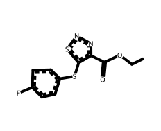 CCOC(=O)c1nnsc1Sc1ccc(F)cc1